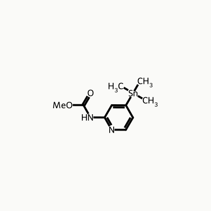 COC(=O)Nc1c[c]([Sn]([CH3])([CH3])[CH3])ccn1